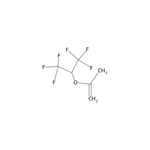 C=C(C)OC(C(F)(F)F)C(F)(F)F